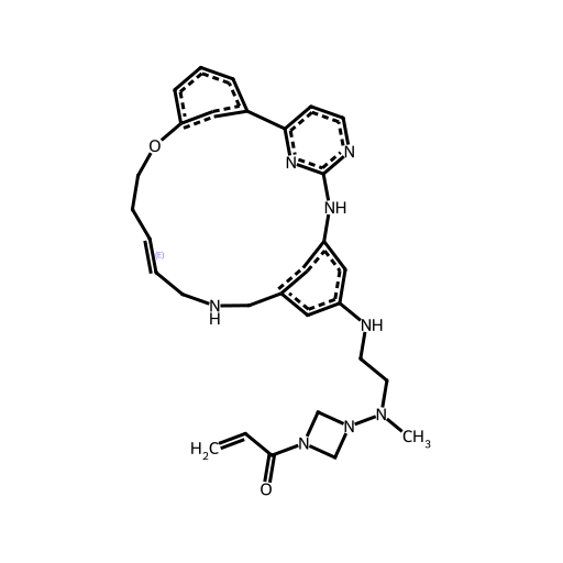 C=CC(=O)N1CN(N(C)CCNc2cc3cc(c2)Nc2nccc(n2)-c2cccc(c2)OCC/C=C/CNC3)C1